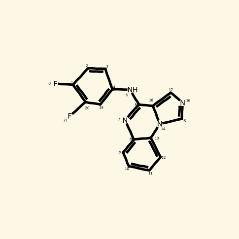 Fc1ccc(Nc2nc3ccccc3n3cncc23)cc1F